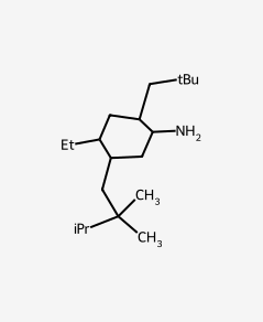 CCC1CC(CC(C)(C)C)C(N)CC1CC(C)(C)C(C)C